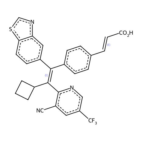 N#Cc1cc(C(F)(F)F)cnc1/C(=C(\c1ccc(/C=C/C(=O)O)cc1)c1ccc2scnc2c1)C1CCC1